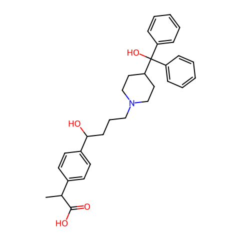 CC(C(=O)O)c1ccc(C(O)CCCN2CCC(C(O)(c3ccccc3)c3ccccc3)CC2)cc1